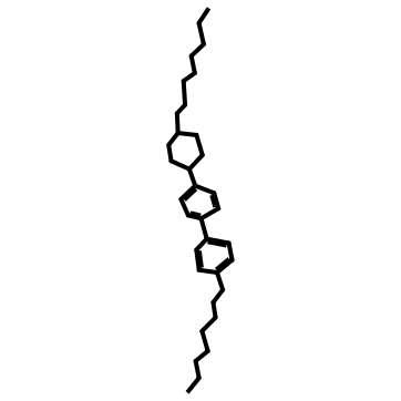 CCCCCCCCc1ccc(-c2ccc(C3CCC(CCCCCCCC)CC3)cc2)cc1